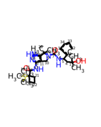 CC(C)(O)CC(NC(=O)N1Cc2c(NC(=O)C3(S(C)(C)C)CCC3)n[nH]c2C1(C)C)c1ccccc1